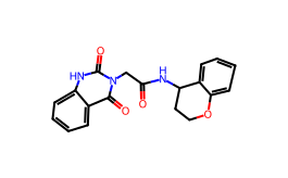 O=C(Cn1c(=O)[nH]c2ccccc2c1=O)NC1CCOc2ccccc21